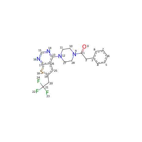 O=C(Cc1ccccc1)N1CCN(c2ncnc3sc(CC(F)(F)F)cc23)CC1